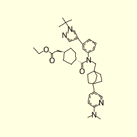 CCOC(=O)C[C@H]1CC[C@H](C(=O)N(CC23CCC(c4ccc(N(C)C)nc4)(CC2)CC3)c2cccc(-c3cnn(C(C)(C)C)c3)c2)CC1